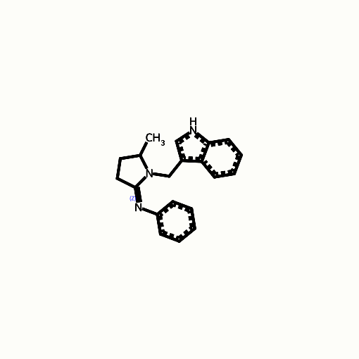 CC1CC/C(=N/c2ccccc2)N1Cc1c[nH]c2ccccc12